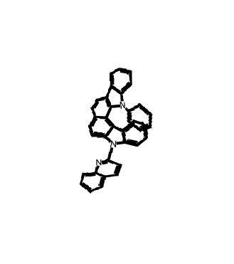 c1ccc(-n2c3ccccc3c3ccc4ccc5c(c6ccccc6n5-c5ccc6ccccc6n5)c4c32)cc1